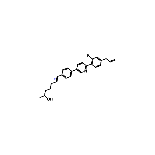 C=CCc1ccc(-c2ccc(-c3ccc(/C=C/CCCC(C)O)cc3)cn2)c(F)c1